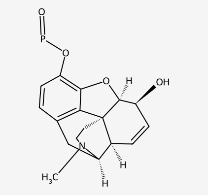 CN1CC[C@]23c4c5ccc(OP=O)c4O[C@H]2[C@@H](O)C=C[C@H]3[C@H]1C5